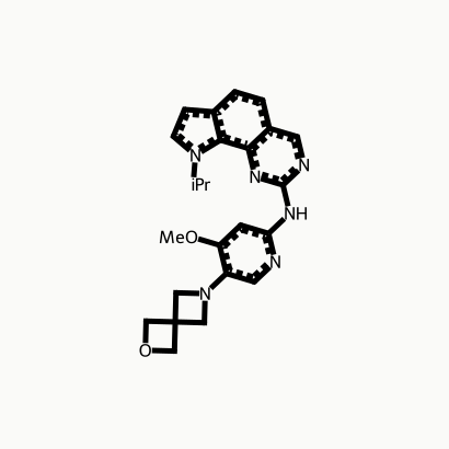 COc1cc(Nc2ncc3ccc4ccn(C(C)C)c4c3n2)ncc1N1CC2(COC2)C1